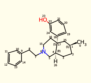 C[C@H]1CC[C@H]2CN(CCc3ccccc3)CC[C@@]2(c2cccc(O)c2)C1